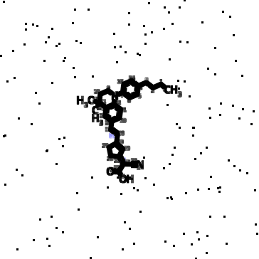 CCCCc1ccc(N2CCC(C)(C)c3cc(/C=C/C4=CC(=C(\C#N)C(=O)O)/CC4)ccc32)cc1